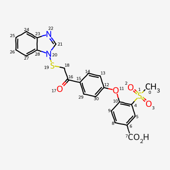 CS(=O)(=O)c1cc(C(=O)O)ccc1Oc1ccc(C(=O)CSn2cnc3ccccc32)cc1